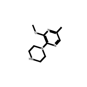 COc1nc(C)cnc1N1CCNCC1